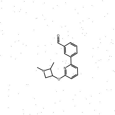 CC1C(Oc2cccc(-c3cccc(C=O)c3)n2)CN1C